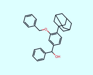 OC(c1ccccc1)c1ccc(C23CC4CC(CC(C4)C2)C3)c(OCc2ccccc2)c1